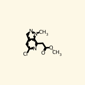 COC(=O)Cc1nc(Cl)cc2cnn(C)c12